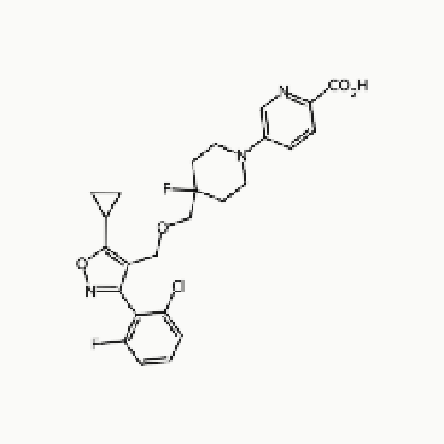 O=C(O)c1ccc(N2CCC(F)(COCc3c(-c4c(F)cccc4Cl)noc3C3CC3)CC2)cn1